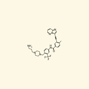 Cc1ccc(C(=O)Nc2ccc(CN3CCN(CCCN)CC3)c(C(F)(F)F)c2)cc1C#Cc1cnc2cccnn12